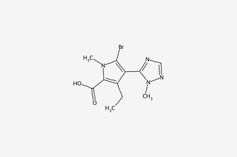 CCc1c(-c2ncnn2C)c(Br)n(C)c1C(=O)O